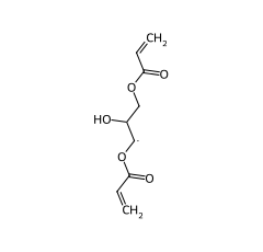 C=CC(=O)O[CH]C(O)COC(=O)C=C